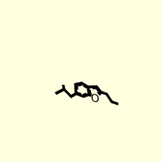 CCCc1cc2ccc(CC(C)C)cc2o1